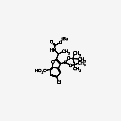 CC(NC(=O)OC(C)(C)C)c1oc2c(C(=O)O)cc(Cl)cc2c1B1OC(C)(C)C(C)(C)O1